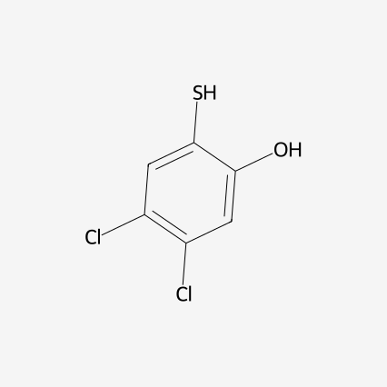 Oc1cc(Cl)c(Cl)cc1S